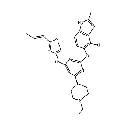 C/C=C/c1cc(Nc2cc(N3CCN(CC)CC3)nc(Oc3ccc4[nH]c(C)cc4c3Cl)n2)n[nH]1